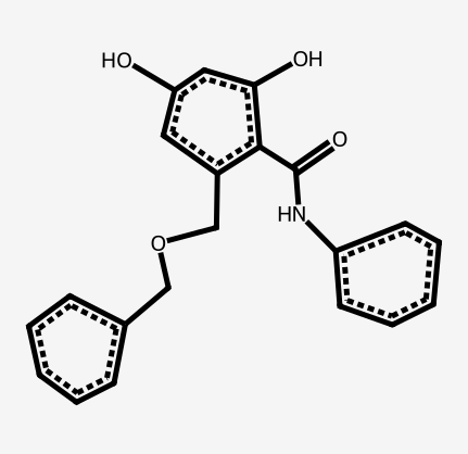 O=C(Nc1ccccc1)c1c(O)cc(O)cc1COCc1ccccc1